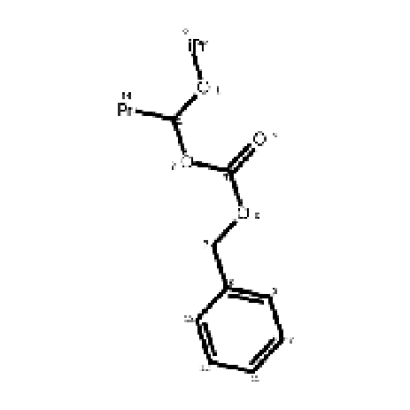 CC(C)OC(OC(=O)OCc1ccccc1)C(C)C